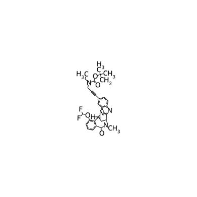 CCN(CC#Cc1ccc2nc3n(c2c1)[C@@H]1CC3N(C)C(=O)c2cccc(OC(F)F)c21)C(=O)OC(C)(C)C